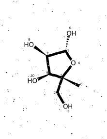 C[C@]1(CO)O[C@@H](O)[C@H](O)[C@@H]1O